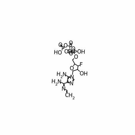 C=C/N=C(/N)c1ncn(C2OC(COP(=O)(O)OP(=O)(O)OP(=O)(O)O)C(F)C2O)c1N